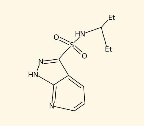 CCC(CC)NS(=O)(=O)c1n[nH]c2ncccc12